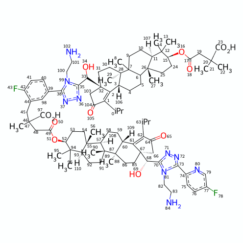 CC(C)C1=C2[C@H]3CCC4C(C)(CC[C@H]5C(C)(C)[C@@H](OC(=O)CC(C)(C)C(=O)O)CC[C@]45C)[C@]3(C)CC[C@@]2(C(O)c2nnc(-c3ccc(F)c(CC(C)(CC(=O)O[C@H]4CC[C@]5(C)[C@H]6CC[C@@H]7C8=C(C(C)C)C(=O)C[C@]8([C@@H](O)c8nnc(-c9ccc(F)cn9)n8CCN)CC[C@@]7(C)[C@]6(C)CC[C@H]5C4(C)C)C(=O)O)c3)n2CCN)CC1=O